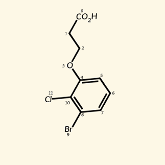 O=C(O)CCOc1cccc(Br)c1Cl